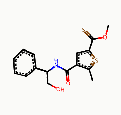 COC(=S)c1cc(C(=O)NC(CO)c2ccccc2)c(C)s1